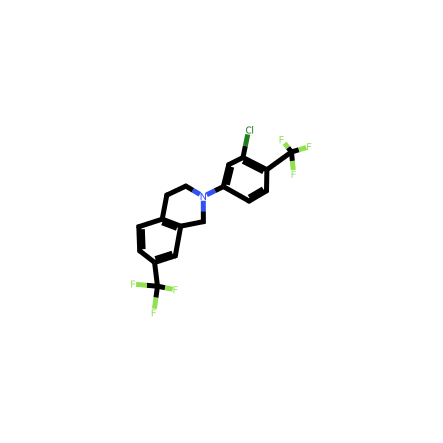 FC(F)(F)c1ccc2c(c1)CN(c1ccc(C(F)(F)F)c(Cl)c1)CC2